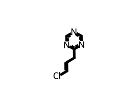 ClC=CCc1ncncn1